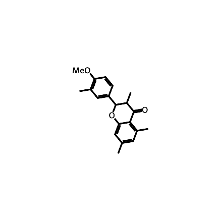 COc1ccc(C2Oc3cc(C)cc(C)c3C(=O)C2C)cc1C